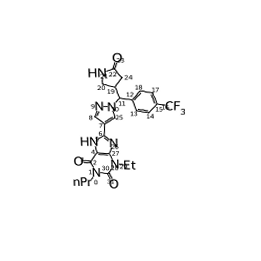 CCCn1c(=O)c2[nH]c(-c3cnn(C(c4ccc(C(F)(F)F)cc4)C4CNC(=O)C4)c3)nc2n(CC)c1=O